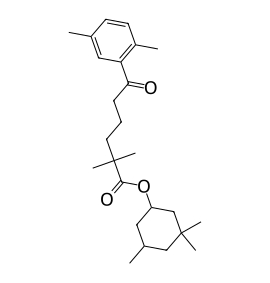 Cc1ccc(C)c(C(=O)CCCC(C)(C)C(=O)OC2CC(C)CC(C)(C)C2)c1